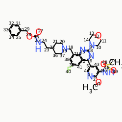 COc1ncc(-c2nc(N3CCOCC3)nc3c(CN4CCC(CCNC(=O)OCc5ccccc5)CC4)cc(F)cc23)cc1NS(C)(=O)=O